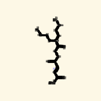 COC(=O)/C=C/C(=O)OCC(=O)N(CCOC(C)C)CCOC(C)C